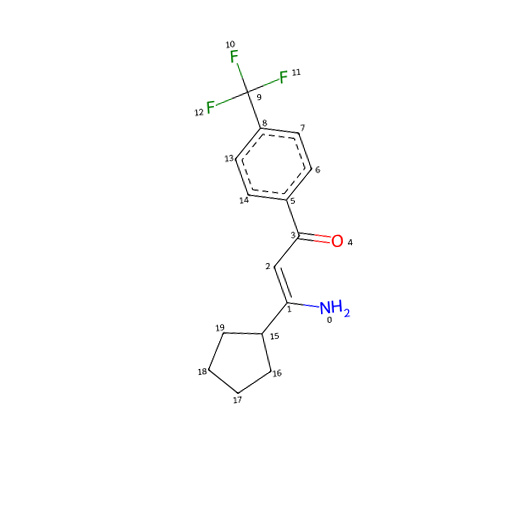 NC(=CC(=O)c1ccc(C(F)(F)F)cc1)C1CCCC1